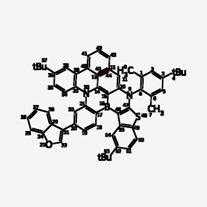 Cc1cc(C(C)(C)C)cc(C)c1N1c2cccc3c2B(c2ccc(-c4coc5ccccc45)cc2N3c2ccc(C(C)(C)C)cc2-c2ccccc2)c2c1sc1ccc(C(C)(C)C)cc21